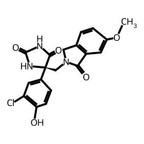 COc1ccc2c(c1)C(=O)N(C[C@@]1(c3ccc(O)c(Cl)c3)NC(=O)NC1=O)C2